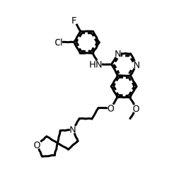 COc1cc2ncnc(Nc3ccc(F)c(Cl)c3)c2cc1OCCCN1CCC2(CCOC2)C1